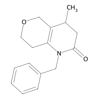 CC1CC(=O)N(Cc2ccccc2)C2=C1COCC2